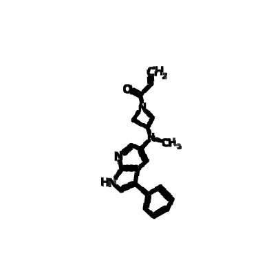 C=CC(=O)N1CC(N(C)c2cnc3[nH]cc(-c4ccccc4)c3c2)C1